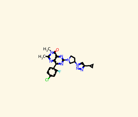 Cc1nc2c(-c3ccc(Cl)cc3F)nc(N3CCC(n4cc(C5CC5)nn4)C3)nc2c(=O)n1C